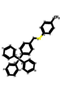 Cc1ccc(SCc2ccc([Si](c3ccccc3)(c3ccccc3)c3ccccc3)cc2)cc1